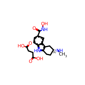 CN[C@@H]1CCc2[nH]c3ccc(C(=O)NO)cc3c2C1.O=C(O)CCC(=O)O